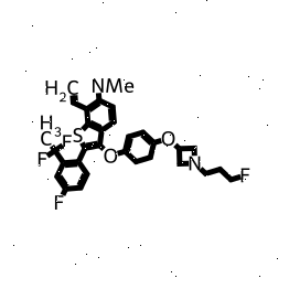 C=Cc1c(NC)ccc2c(OC3=CC=C(OC4CN(CCCF)C4)CC3)c(-c3ccc(F)cc3C(C)(F)F)sc12